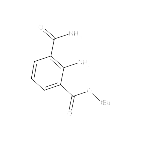 CC(C)(C)OC(=O)c1cccc(C(N)=O)c1N